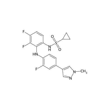 Cn1cc(-c2ccc(Nc3c(NS(=O)(=O)C4CC4)ccc(F)c3F)c(F)c2)cn1